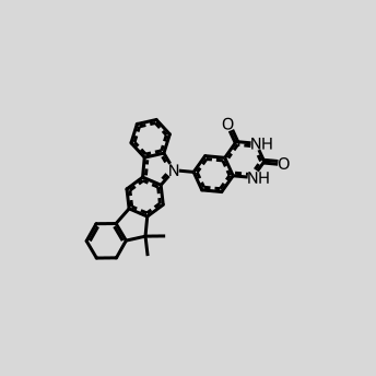 CC1(C)C2=C(C=CCC2)c2cc3c4ccccc4n(-c4ccc5[nH]c(=O)[nH]c(=O)c5c4)c3cc21